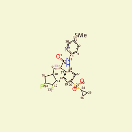 CSc1ccc(NC(=O)/C(=C/C2CC(F)C(F)C2)c2ccc(S(=O)(=O)C3CC3)cc2)nc1